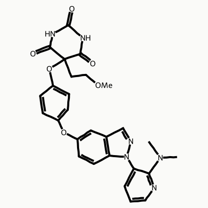 COCCC1(Oc2ccc(Oc3ccc4c(cnn4-c4cccnc4N(C)C)c3)cc2)C(=O)NC(=O)NC1=O